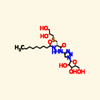 CCCCCCCCC(=O)N[C@H](CSC[C@H](O)CO)C(=O)Nc1cn([C@H]2OC(CO)[C@@H](O)[C@H]2O)nn1